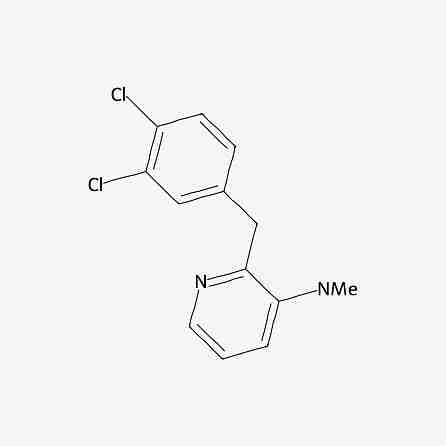 CNc1cccnc1Cc1ccc(Cl)c(Cl)c1